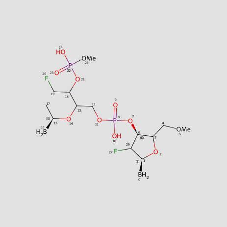 B[C@@H]1OC(COC)[C@H](OP(=O)(O)OCC(O[C@@H](B)C)C(CF)OP(=O)(O)OC)C1F